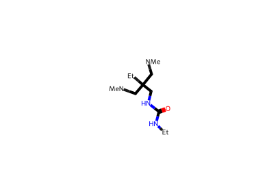 CCNC(=O)NCC(CC)(CNC)CNC